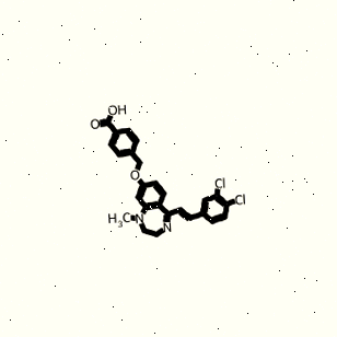 CN1CCN=C(C=Cc2ccc(Cl)c(Cl)c2)c2ccc(OCc3ccc(C(=O)O)cc3)cc21